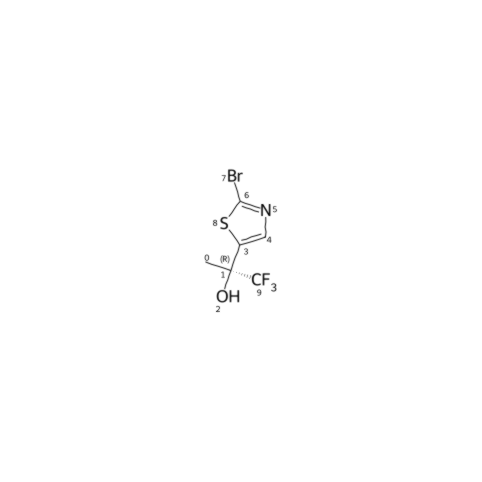 C[C@](O)(c1cnc(Br)s1)C(F)(F)F